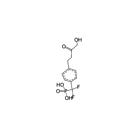 O=C(CO)CCc1ccc(C(F)(F)P(=O)(O)O)cc1